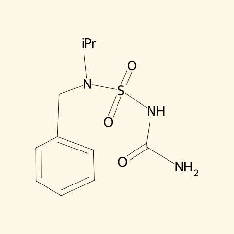 CC(C)N(Cc1ccccc1)S(=O)(=O)NC(N)=O